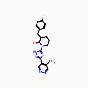 Cc1cnncc1-c1n[nH]c(N2CCCC(Cc3ccc(F)cc3)C2=O)n1